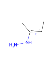 C/C=C(\C)NN